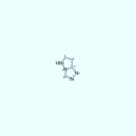 [c]1nnc2cc[nH]n12